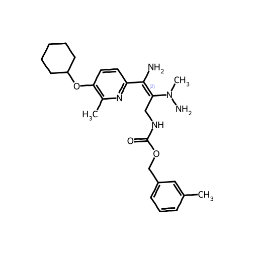 Cc1cccc(COC(=O)NC/C(=C(/N)c2ccc(OC3CCCCC3)c(C)n2)N(C)N)c1